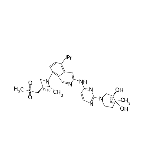 CC(C)c1ccc(N2C[C@H](CS(C)(=O)=O)[C@H]2C)c2cnc(Nc3ccnc(N4CC[C@](C)(O)[C@H](O)C4)n3)cc12